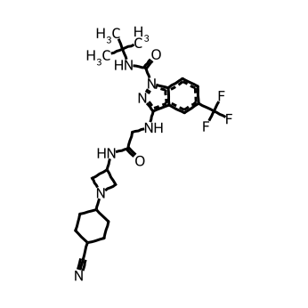 CC(C)(C)NC(=O)n1nc(NCC(=O)NC2CN(C3CCC(C#N)CC3)C2)c2cc(C(F)(F)F)ccc21